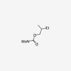 CCC(C)COC(=O)NC